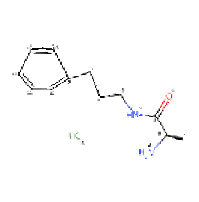 C[C@@H](N)C(=O)NCCCc1ccccc1.Cl